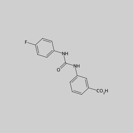 O=C(Nc1ccc(F)cc1)Nc1cccc(C(=O)O)c1